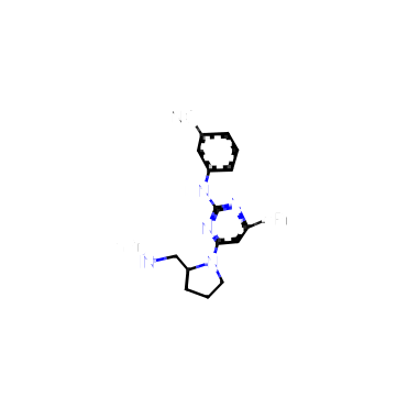 CCCNCC1CCCN1c1cc(CCC)nc(Nc2cccc(C#N)c2)n1